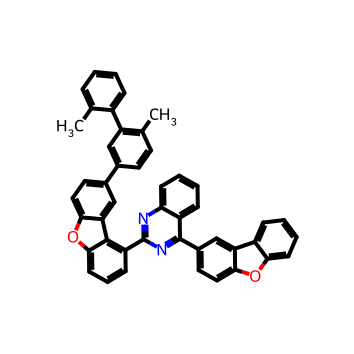 Cc1ccccc1-c1cc(-c2ccc3oc4cccc(-c5nc(-c6ccc7oc8ccccc8c7c6)c6ccccc6n5)c4c3c2)ccc1C